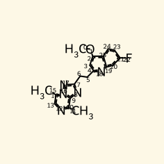 COc1cc(CCc2nc3c(C)ncc(C)n3n2)nc2cc(F)ccc12